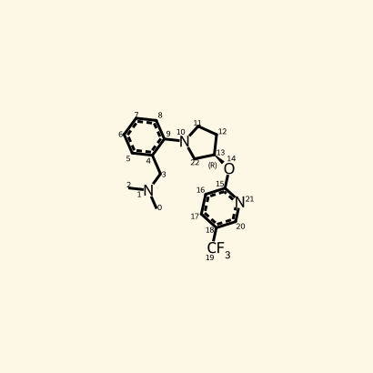 CN(C)Cc1ccccc1N1CC[C@@H](Oc2ccc(C(F)(F)F)cn2)C1